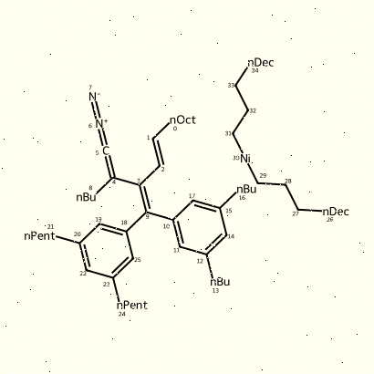 CCCCCCCCC=CC(C(=C=[N+]=[N-])CCCC)=C(c1cc(CCCC)cc(CCCC)c1)c1cc(CCCCC)cc(CCCCC)c1.CCCCCCCCCCCC[CH2][Ni][CH2]CCCCCCCCCCCC